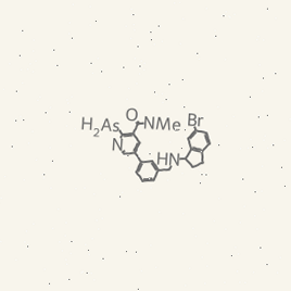 CNC(=O)c1cc(-c2cccc(CNC3CCc4ccc(Br)cc43)c2)cnc1[AsH2]